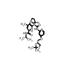 CC1=CC(C(=O)N[C@H](C)C(F)(F)F)NC2=C1N1CC[C@@H](C1)N2C(=O)Nc1cc(OC[C@H]2COC(C)(C)O2)ccn1